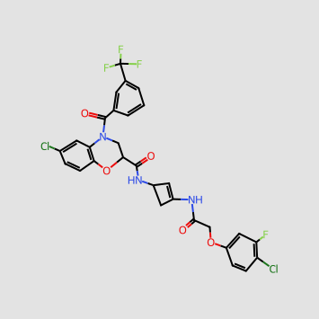 O=C(COc1ccc(Cl)c(F)c1)NC1=CC(NC(=O)C2CN(C(=O)c3cccc(C(F)(F)F)c3)c3cc(Cl)ccc3O2)C1